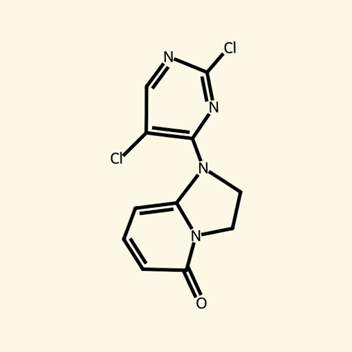 O=c1cccc2n1CCN2c1nc(Cl)ncc1Cl